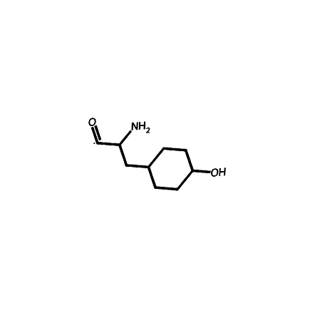 NC([C]=O)CC1CCC(O)CC1